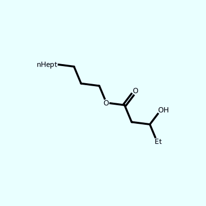 CCCCCCCCCCOC(=O)CC(O)CC